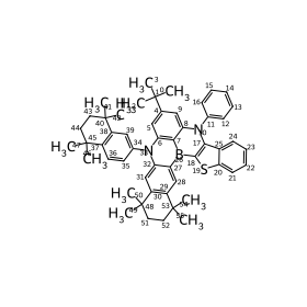 CC(C)(C)c1cc2c3c(c1)N(c1ccccc1)c1c(sc4ccccc14)B3c1cc3c(cc1N2c1ccc2c(c1)C(C)(C)CCC2(C)C)C(C)(C)CCC3(C)C